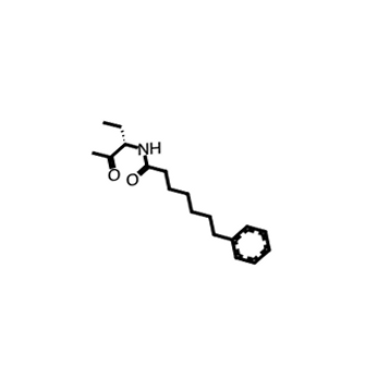 CC[C@H](NC(=O)CCCCCCc1ccccc1)C(C)=O